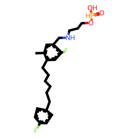 Cc1cc(CNCCCO[PH](=O)O)c(F)cc1CCCCCCc1ccc(F)cc1